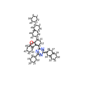 c1ccc(-c2ccc3cc(-c4ccc(-c5nc(-c6ccccc6)nc(-c6ccc7ccccc7c6)n5)c5c4oc4ccccc45)ccc3c2)cc1